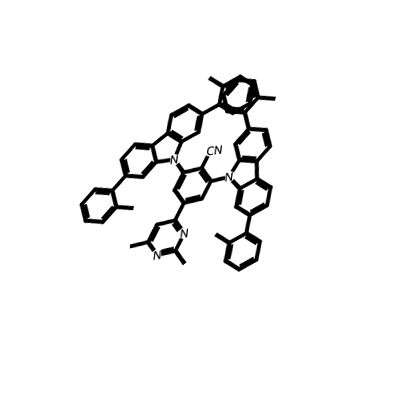 Cc1cc(-c2cc(-n3c4cc(-c5ccccc5C)ccc4c4ccc(-c5ccccc5C)cc43)c(C#N)c(-n3c4cc(-c5ccccc5C)ccc4c4ccc(-c5ccccc5C)cc43)c2)nc(C)n1